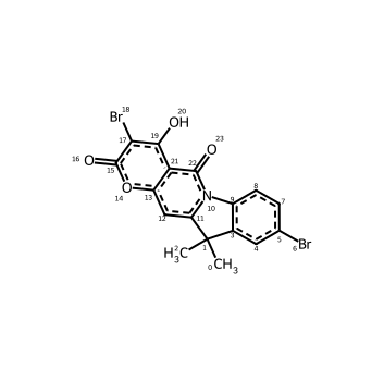 CC1(C)c2cc(Br)ccc2-n2c1cc1oc(=O)c(Br)c(O)c1c2=O